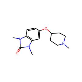 CN1CCC(Oc2ccc3c(c2)n(C)c(=O)n3C)CC1